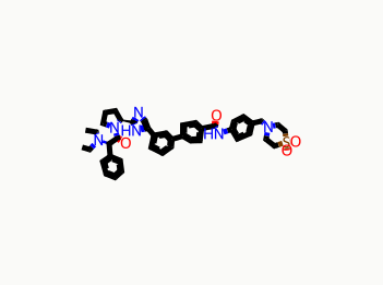 CCN(CC)[C@@H](C(=O)N1CCC[C@H]1c1ncc(-c2cccc(-c3ccc(C(=O)Nc4ccc(CN5CCS(=O)(=O)CC5)cc4)cc3)c2)[nH]1)c1ccccc1